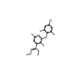 CC/C(=N\OC)c1cc(C)nc(Oc2c(C)cc(Cl)cc2C)c1C